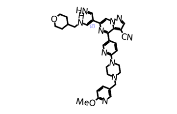 COc1ccc(CN2CCN(c3ccc(-c4nc(/C(C=N)=C/NCC5CCOCC5)cn5ncc(C#N)c45)cn3)CC2)cn1